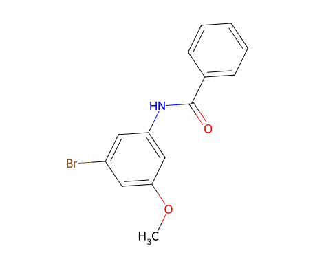 COc1cc(Br)cc(NC(=O)c2ccccc2)c1